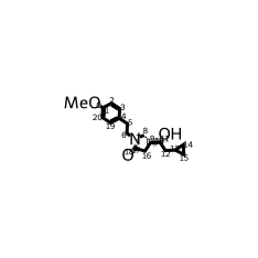 COc1ccc(CCN2C[C@H]([C@H](O)CC3CC3)CC2=O)cc1